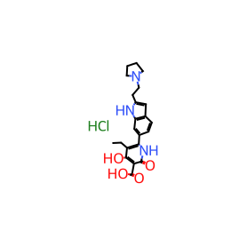 CCc1c(-c2ccc3cc(CCN4CCCC4)[nH]c3c2)[nH]c(=O)c(C(=O)O)c1O.Cl